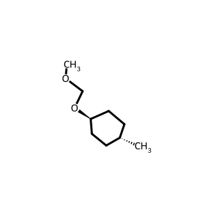 COCO[C@H]1CC[C@H](C)CC1